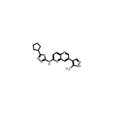 Cc1[nH]ncc1-c1cnc2ccc(Nc3nnc(C4CCCC4)s3)nc2c1